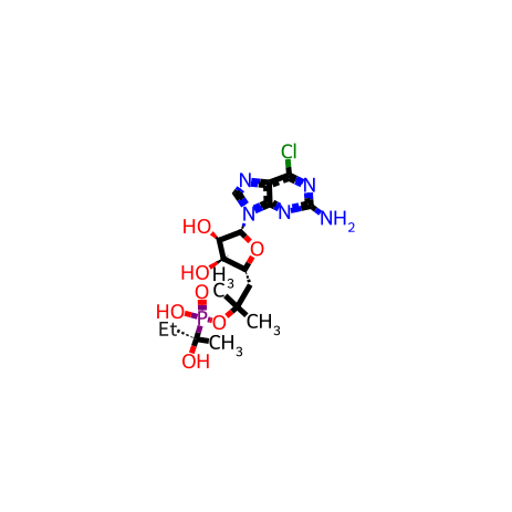 CC[C@](C)(O)P(=O)(O)OC(C)(C)C[C@H]1O[C@@H](n2cnc3c(Cl)nc(N)nc32)[C@H](O)[C@@H]1O